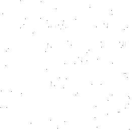 CO[C@@H]1N(c2nc(-c3c(Cl)cnc4[nH]ccc34)nc3c2CN(c2cc(C4CC4)ccc2C)CC3)CCCC1(C)C